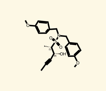 CC#C[C@@H](O)[C@H](C)S(=O)(=O)N(Cc1ccc(OC)cc1)Cc1ccc(OC)cc1